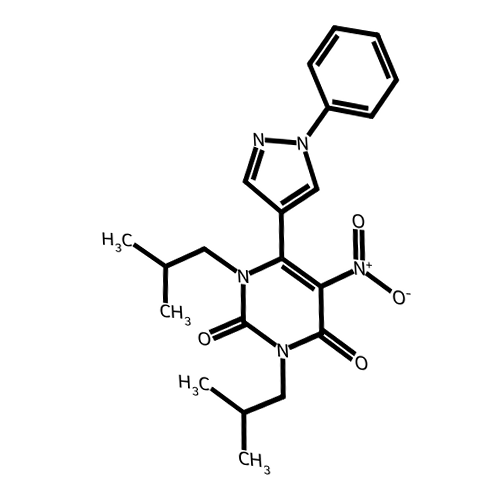 CC(C)Cn1c(-c2cnn(-c3ccccc3)c2)c([N+](=O)[O-])c(=O)n(CC(C)C)c1=O